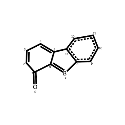 O=C1C=CC=C2C1=Bc1ccccc12